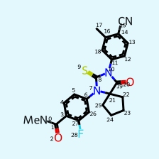 CNC(=O)c1ccc(N2C(=S)N(c3ccc(C#N)c(C)c3)C(=O)C23CCCC3)cc1F